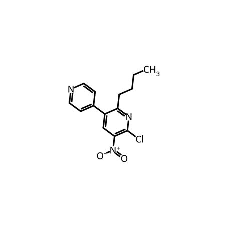 CCCCc1nc(Cl)c([N+](=O)[O-])cc1-c1ccncc1